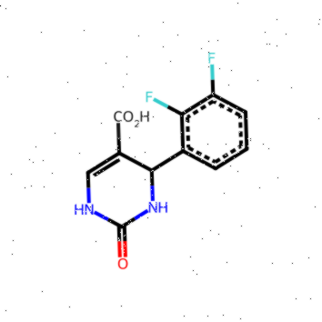 O=C1NC=C(C(=O)O)C(c2cccc(F)c2F)N1